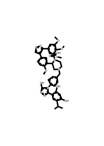 COc1ccc(-c2cnoc2-c2cc(OC)c(OC)c(OC)c2)cc1C1CN(Cc2ccc(-n3c(O)nnc3-c3cc(C(C)C)c(O)cc3O)cc2)CCN1C(=O)O